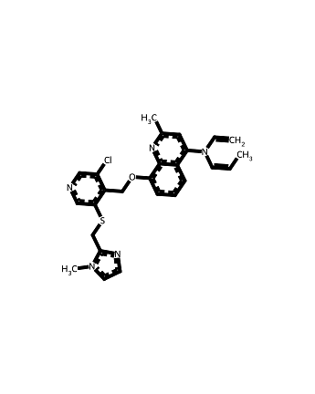 C=CN(/C=C\C)c1cc(C)nc2c(OCc3c(Cl)cncc3SCc3nccn3C)cccc12